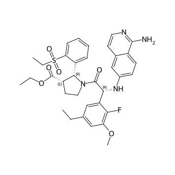 CCOC(=O)[C@H]1CCN(C(=O)[C@H](Nc2ccc3c(N)nccc3c2)c2cc(CC)cc(OC)c2F)[C@H]1c1ccccc1S(=O)(=O)CC